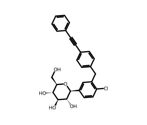 OC[C@H]1O[C@@H](c2ccc(Cl)c(Cc3ccc(C#Cc4ccccc4)cc3)c2)[C@H](O)[C@@H](O)[C@@H]1O